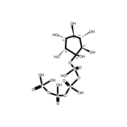 O=P(O)(O)OP(=O)(O)OP(=O)(O)OP(=O)(O)O[C@]1(O)[C@H](O)[C@H](O)[C@@H](O)[C@H](O)[C@H]1O